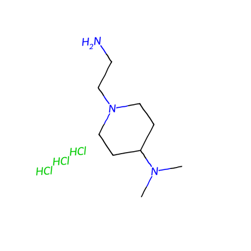 CN(C)C1CCN(CCN)CC1.Cl.Cl.Cl